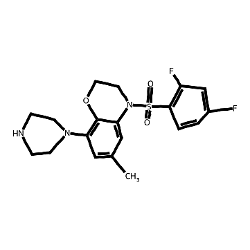 Cc1cc(N2CCNCC2)c2c(c1)N(S(=O)(=O)c1ccc(F)cc1F)CCO2